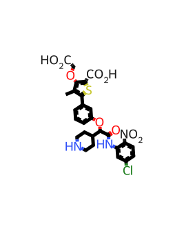 Cc1c(-c2cccc(OC(C(=O)Nc3cc(Cl)ccc3[N+](=O)[O-])C3CCNCC3)c2)sc(C(=O)O)c1OCC(=O)O